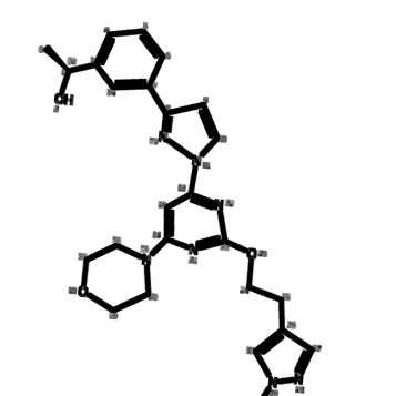 C[C@H](O)c1cccc(-c2ccn(-c3cc(N4CCOCC4)nc(OCCc4cnn(C)c4)n3)n2)c1